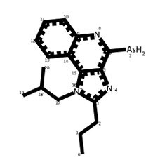 CCCc1nc2c([AsH2])nc3ccccc3c2n1CC(C)C